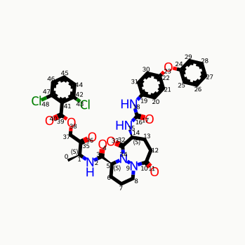 C[C@H](NC(=O)[C@@H]1CCCN2C(=O)CC[C@H](NC(=O)Nc3ccc(Oc4ccccc4)cc3)C(=O)N12)C(=O)COC(=O)c1c(Cl)cccc1Cl